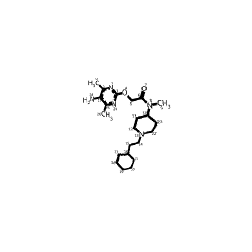 Cc1nc(OCC(=O)N(C)C2CCN(CCC3CCCCC3)CC2)nc(C)c1N